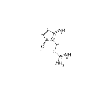 N=C(N)CCN1C(=N)C=CC1=O